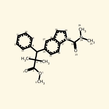 COC(=O)C(C)(C)C(c1ccccc1)c1ccc2c(ccn2C(=O)N(C)C)c1